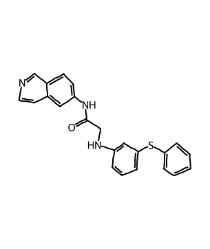 O=C(CNc1cccc(Sc2ccccc2)c1)Nc1ccc2cnccc2c1